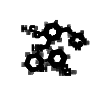 COc1ccc(Cn2cnnn2)cc1CN[C@H]1CCCN[C@H]1c1ccccc1.Cl.Cl